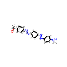 CCNc1ccc(N=Nc2ccc(N=Nc3ccc(C(=O)C(F)(F)F)cc3)cc2)cc1